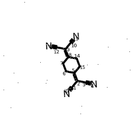 N#CC(C#N)=C1CCC(=C(C#N)C#N)CC1